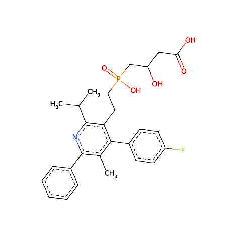 Cc1c(-c2ccccc2)nc(C(C)C)c(CCP(=O)(O)CC(O)CC(=O)O)c1-c1ccc(F)cc1